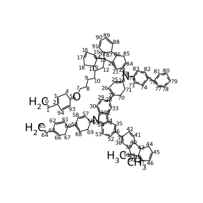 C=CC1=CCC(OCCCCCCC2(C3=CC=CCC3)C3=CC(N(C4=CC=C(c5ccc6c(c5)c5cc(C7=CC8C(C=C7)C7CC=CC=C7C8(C)C)ccc5n6C5C=CC(C6C=CC(C=C)=CC6)=CC5)CC4)c4ccc(-c5ccccc5)cc4)=CCC3C3C=CC=CC32)C=C1